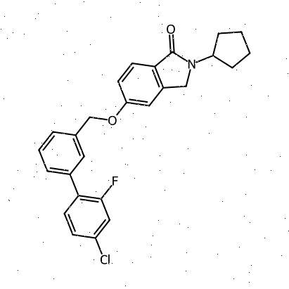 O=C1c2ccc(OCc3cccc(-c4ccc(Cl)cc4F)c3)cc2CN1C1CCCC1